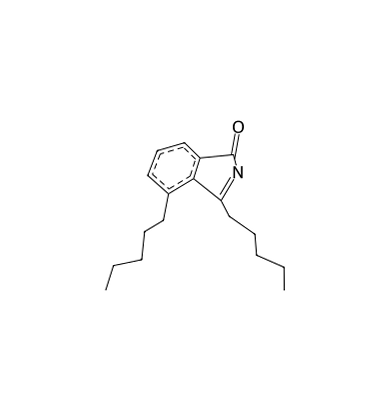 CCCCCC1=NC(=O)c2cccc(CCCCC)c21